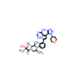 CC1CN(C(=O)C(C)(C)O)CC(C)N1c1cccc(-c2cc(-c3cnnn3C3CCOCC3)c3c(N)ncnn23)c1